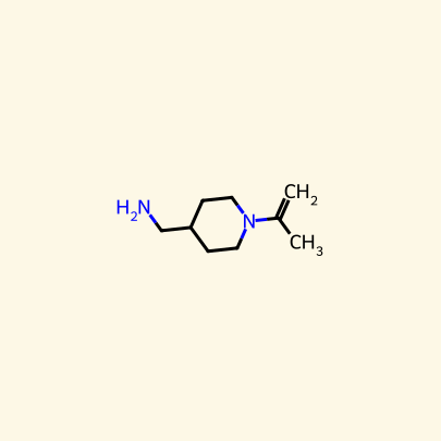 C=C(C)N1CCC(CN)CC1